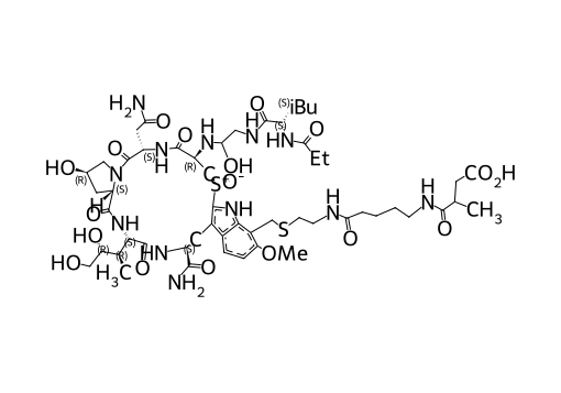 CCC(=O)N[C@H](C(=O)NCC(O)N[C@H]1C[S+]([O-])c2[nH]c3c(CSCCNC(=O)CCCCNC(=O)C(C)CC(=O)O)c(OC)ccc3c2C[C@@H](C(N)=O)NC(=O)[C@H]([C@@H](C)[C@@H](O)CO)NC(=O)[C@@H]2C[C@@H](O)CN2C(=O)[C@H](CC(N)=O)NC1=O)[C@@H](C)CC